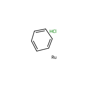 Cl.[Ru].c1ccccc1